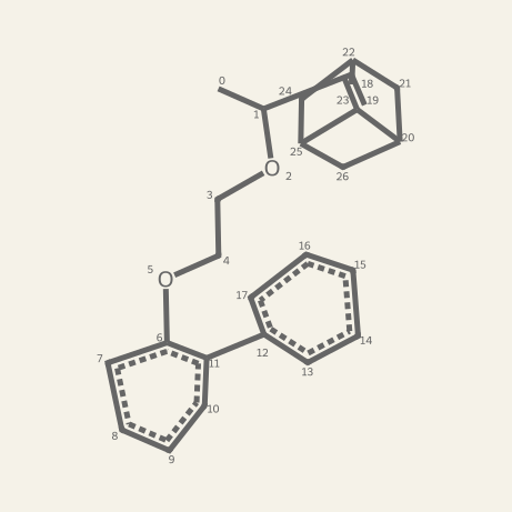 CC(OCCOc1ccccc1-c1ccccc1)C1=C2C3CC(C1)CC2C3